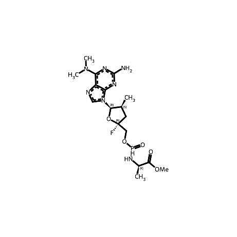 COC(=O)[C@@H](C)N[PH](=O)OC[C@]1(F)C[C@H](C)[C@H](n2cnc3c(N(C)C)nc(N)nc32)O1